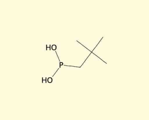 CC(C)(C)CP(O)O